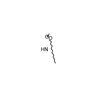 CCCCCCCCCCCCOC(C)=O.CNC